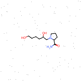 NC(=O)C1CCCN1CC(O)CCCCO